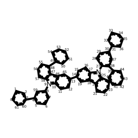 c1ccc(-c2cccc(-n3c4ccc(-c5ccc6c(c5)c5ccccc5n6-c5ccc(-c6ccccc6)cc5-c5ccccc5)cc4c4c(-c5ccccc5)cccc43)c2)cc1